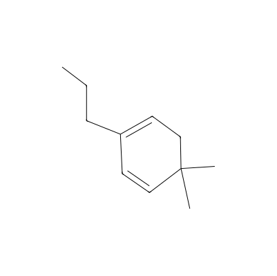 CCCC1=CCC(C)(C)C=C1